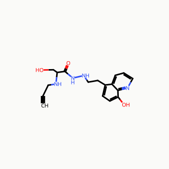 C#CCNC(CO)C(=O)NNCCc1ccc(O)c2ncccc12